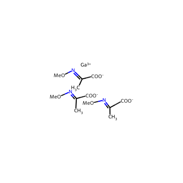 CO/N=C(\C)C(=O)[O-].CO/N=C(\C)C(=O)[O-].CO/N=C(\C)C(=O)[O-].[Ga+3]